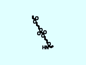 C=CC(=N)OCCCCOC(=O)C(=O)OCCCCOC(=O)C=C